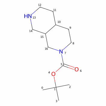 CC(C)(C)OC(=O)N1CCC2CCNCC2C1